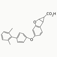 Cc1cccc(C)c1-c1ccc(Oc2ccc3c(c2)OC2C(C(=O)O)C32)cc1